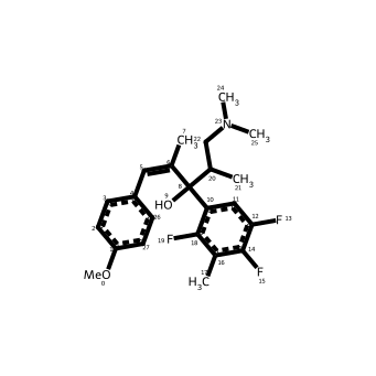 COc1ccc(C=C(C)C(O)(c2cc(F)c(F)c(C)c2F)C(C)CN(C)C)cc1